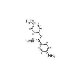 Nc1ccc(SCc2ccc(C(F)(F)F)cc2)cc1.[NaH]